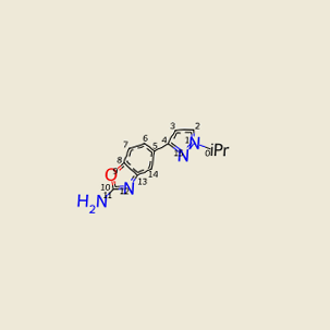 CC(C)n1ccc(-c2ccc3oc(N)nc3c2)n1